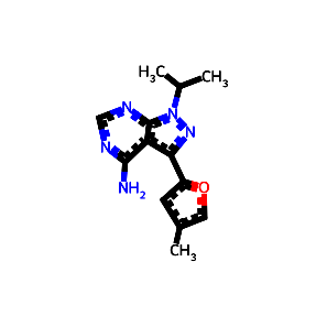 Cc1coc(-c2nn(C(C)C)c3ncnc(N)c23)c1